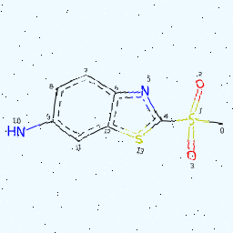 CS(=O)(=O)c1nc2ccc([NH])cc2s1